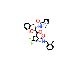 Cc1ccccc1CNC(=O)[C@@H]1CC(F)(F)CC1C(=O)[C@@H](O)[C@H](Cc1ccccc1)NC(=O)c1cccn1C